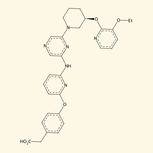 CCOc1cccnc1O[C@@H]1CCCN(c2cncc(Nc3cccc(Oc4ccc(CC(=O)O)cc4)n3)n2)C1